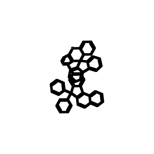 C1=CCC2C(=C1)Oc1cccc(-c3ccc4c(c3)C(c3ccccc3)(c3ccccc3)c3ccc5ccccc5c3-4)c1C21c2ccccc2-c2ccccc21